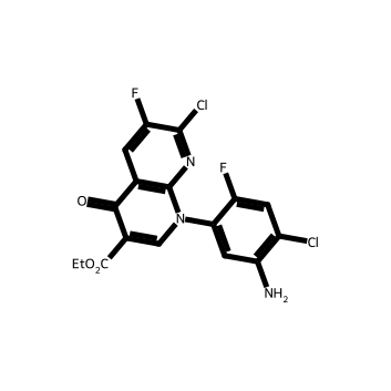 CCOC(=O)c1cn(-c2cc(N)c(Cl)cc2F)c2nc(Cl)c(F)cc2c1=O